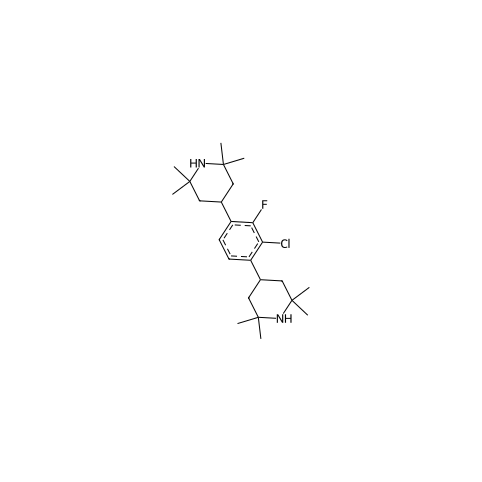 CC1(C)CC(c2ccc(C3CC(C)(C)NC(C)(C)C3)c(Cl)c2F)CC(C)(C)N1